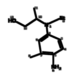 CCN(c1ccc(N)c(C)c1)C(C)CO